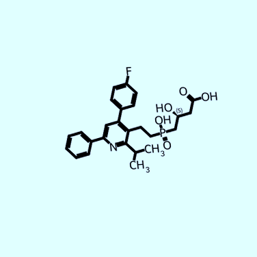 CC(C)c1nc(-c2ccccc2)cc(-c2ccc(F)cc2)c1CCP(=O)(O)C[C@@H](O)CC(=O)O